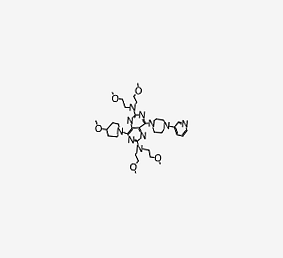 COCCN(CCOC)c1nc(N2CCN(c3cccnc3)CC2)c2nc(N(CCOC)CCOC)nc(N3CCC(OC)CC3)c2n1